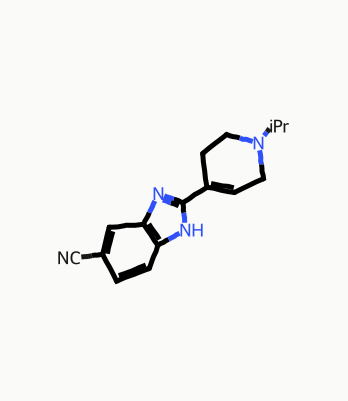 CC(C)N1CC=C(c2nc3cc(C#N)ccc3[nH]2)CC1